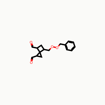 O=CC1CC(COOCc2ccccc2)C12CC2C=O